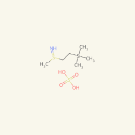 CS(=N)CC[Si](C)(C)C.O=S(=O)(O)O